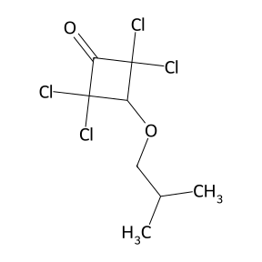 CC(C)COC1C(Cl)(Cl)C(=O)C1(Cl)Cl